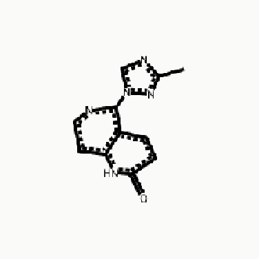 Cc1ncn(-c2nccc3[nH]c(=O)ccc23)n1